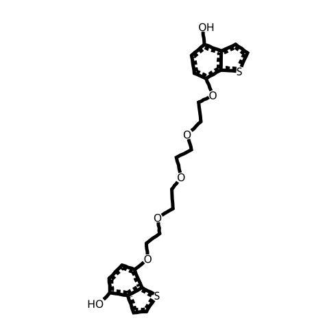 Oc1ccc(OCCOCCOCCOCCOc2ccc(O)c3ccsc23)c2sccc12